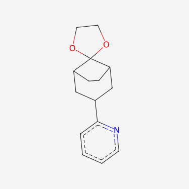 c1ccc(C2CC3CCC(C2)C32OCCO2)nc1